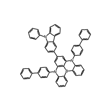 c1ccc(-c2ccc(N3c4ccccc4B4c5ccccc5N(c5ccc(-c6ccccc6)cc5)c5cc(-c6ccc7c(c6)c6ccccc6n7-c6ccccc6)cc3c54)cc2)cc1